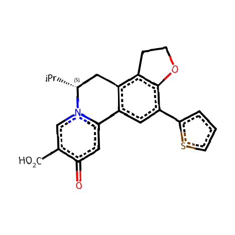 CC(C)[C@@H]1Cc2c(cc(-c3cccs3)c3c2CCO3)-c2cc(=O)c(C(=O)O)cn21